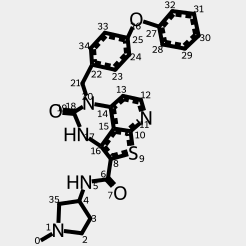 CN1CCC(NC(=O)c2sc3nccc4c3c2NC(=O)N4Cc2ccc(Oc3ccccc3)cc2)C1